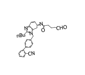 CCCCc1nc2c(n1Cc1ccc(-c3ccccc3C#N)cc1)CC(=NC(=O)CCCC=O)C=C2